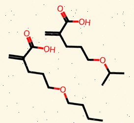 C=C(CCCOC(C)C)C(=O)O.C=C(CCCOCCCC)C(=O)O